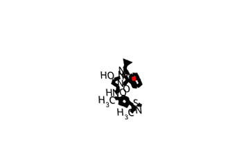 Cc1ncsc1-c1ccc(C(C)NC(=O)C2CC(O)CN2C(=O)C(n2cc(C3CC3)nn2)C23CC4CC(CC(C4)C2)C3)cc1